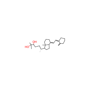 C=C1CCCC/C1=C/C=C1\CCCC2(C)C1CCC2[C@H](C)CCC(O)C(C)(C)O